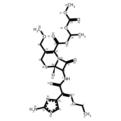 CCON=C(C(=O)NC1C(=O)N2C(C(=O)OC(C)OC(=O)OC)=C(COC)CS[C@@H]12)c1csc(N)n1